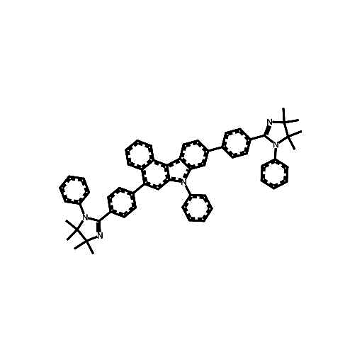 CC1(C)N=C(c2ccc(-c3ccc4c5c6ccccc6c(-c6ccc(C7=NC(C)(C)C(C)(C)N7c7ccccc7)cc6)cc5n(-c5ccccc5)c4c3)cc2)N(c2ccccc2)C1(C)C